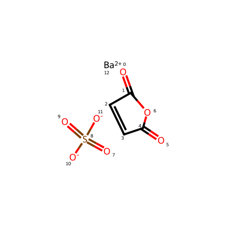 O=C1C=CC(=O)O1.O=S(=O)([O-])[O-].[Ba+2]